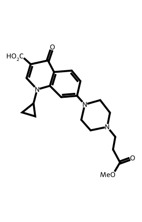 COC(=O)CCN1CCN(c2ccc3c(=O)c(C(=O)O)cn(C4CC4)c3c2)CC1